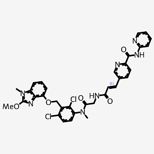 COc1nc2c(OCc3c(Cl)ccc(N(C)C(=O)CNC(=O)/C=C/c4ccc(C(=O)Nc5ccccn5)nc4)c3Cl)cccc2n1C